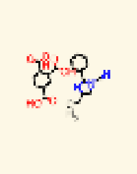 CCc1cn(C#N)c(-c2ccccc2)n1.O=C(O)c1ccc(C(=O)O)c(C(=O)O)c1